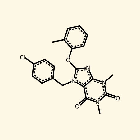 Cc1ccccc1Oc1nc2c(c(=O)n(C)c(=O)n2C)n1Cc1ccc(Cl)cc1